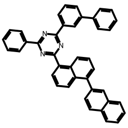 c1ccc(-c2cccc(-c3nc(-c4ccccc4)nc(-c4cccc5c(-c6ccc7ccccc7c6)cccc45)n3)c2)cc1